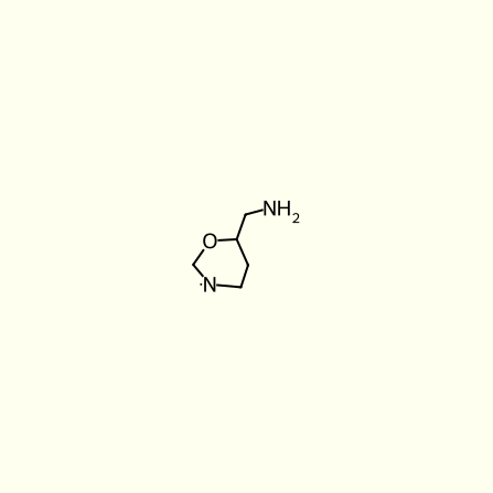 NCC1CC[N]CO1